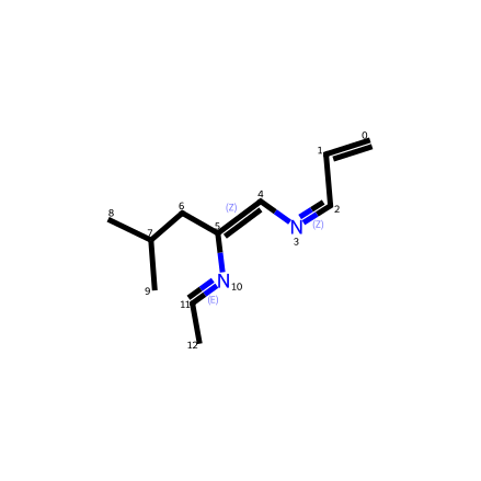 C=C\C=N/C=C(CC(C)C)\N=C\C